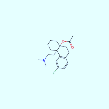 CC(=O)OC12CCCC[C@]1(CCN(C)C)c1cc(F)ccc1CC2